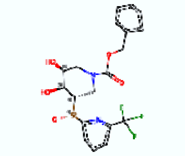 O=C(OCc1ccccc1)N1C[C@H](O)[C@H](O)[C@@H]([S@@+]([O-])c2cccc(C(F)(F)F)n2)C1